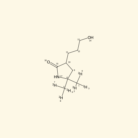 [2H]C([2H])([2H])C1(C([2H])([2H])[2H])CC(CCCO)C(=O)N1